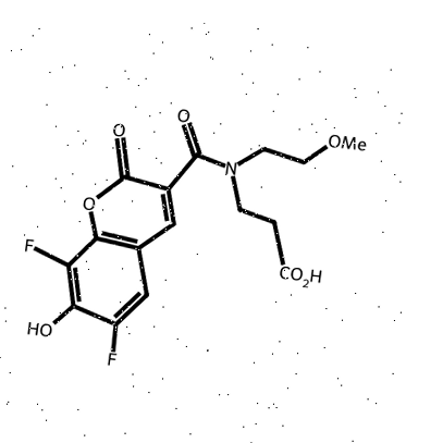 COCCN(CCC(=O)O)C(=O)c1cc2cc(F)c(O)c(F)c2oc1=O